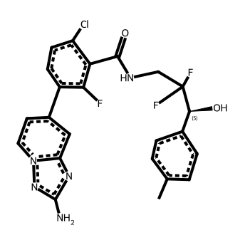 Cc1ccc([C@H](O)C(F)(F)CNC(=O)c2c(Cl)ccc(-c3ccn4nc(N)nc4c3)c2F)cc1